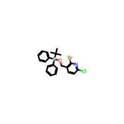 CC(C)(C)[Si](OCc1ccc(Cl)nc1Br)(c1ccccc1)c1ccccc1